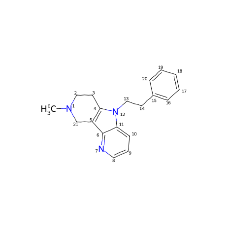 CN1CCc2c(c3ncccc3n2CCc2ccccc2)C1